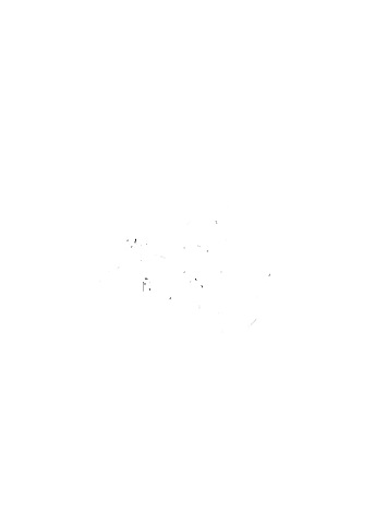 COC(=O)c1ccc(N(Cc2cccc(Cl)c2)Cc2cccc(Cl)c2)cn1